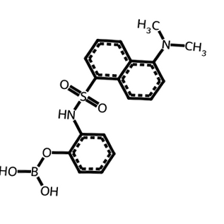 CN(C)c1cccc2c(S(=O)(=O)Nc3ccccc3OB(O)O)cccc12